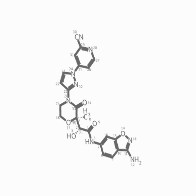 C[C@]1([C@@H](O)C(=O)Nc2ccc3c(N)noc3c2)OCCN(c2ccn(-c3ccnc(C#N)c3)n2)C1=O